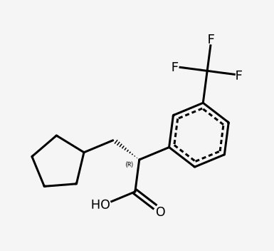 O=C(O)[C@H](CC1CCCC1)c1cccc(C(F)(F)F)c1